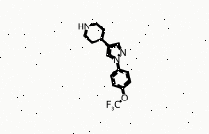 FC(F)(F)Oc1ccc(-n2cc(C3CCNCC3)cn2)cc1